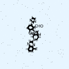 Cc1ccc(-n2nccn2)c(C=O)c1N1C[C@H]2CCN(c3cnc4cccc(F)c4n3)C[C@H]21